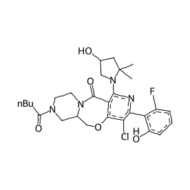 CCCCC(=O)N1CCN2C(=O)c3c(N4CC(O)CC4(C)C)nc(-c4c(O)cccc4F)c(Cl)c3OCC2C1